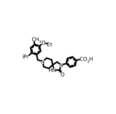 CCOc1cc(CN2CCC3(CC2)CN(c2ccc(C(=O)O)cc2)C(=O)N3)c(C(C)C)cc1C